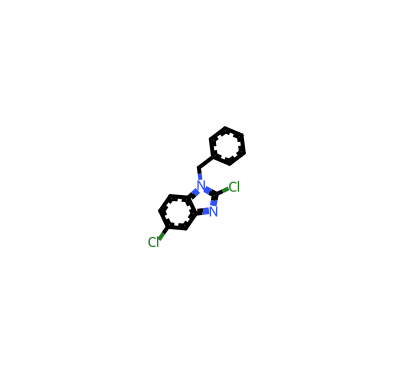 Clc1ccc2c(c1)nc(Cl)n2Cc1ccccc1